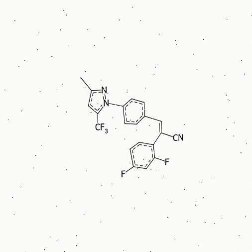 Cc1cc(C(F)(F)F)n(-c2ccc(C=C(C#N)c3ccc(F)cc3F)cc2)n1